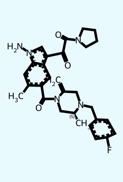 C=C1CN(Cc2ccc(F)cc2)[C@@H](C)CN1C(=O)c1cc2c(C(=O)C(=O)N3CCCC3)cn(N)c2cc1C